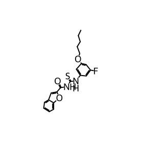 CCCCCOc1cc(F)cc(NC(=S)NC(=O)c2cc3ccccc3o2)c1